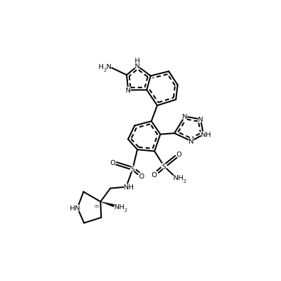 Nc1nc2c(-c3ccc(S(=O)(=O)NC[C@]4(N)CCNC4)c(S(N)(=O)=O)c3-c3nn[nH]n3)cccc2[nH]1